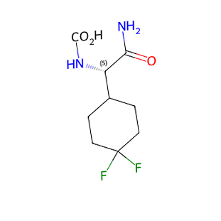 NC(=O)[C@@H](NC(=O)O)C1CCC(F)(F)CC1